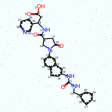 O=C(O)CC(NC(=O)C1CC(=O)N(c2ccc3ccc(NC(=O)NCc4ccccc4)cc3c2)C1)c1cccnc1